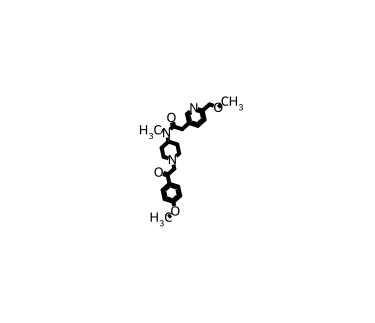 COCc1ccc(CC(=O)N(C)C2CCN(CC(=O)c3ccc(OC)cc3)CC2)cn1